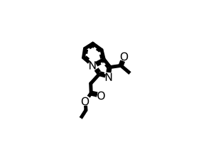 CCOC(=O)Cc1nc(C(C)=O)c2ccccn12